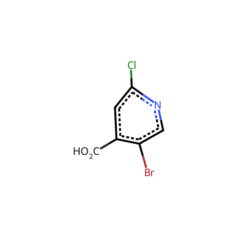 O=C(O)c1cc(Cl)ncc1Br